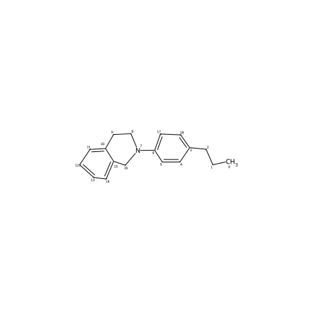 CCCc1ccc(N2CCc3c[c]ccc3C2)cc1